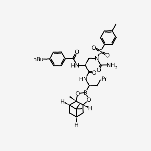 CCCCc1ccc(C(=O)N[C@@H](CN(C(N)=O)S(=O)(=O)c2ccc(C)cc2)C(=O)N[C@@H](CC(C)C)B2O[C@@H]3C[C@@H]4C[C@@H](C4(C)C)[C@]3(C)O2)cc1